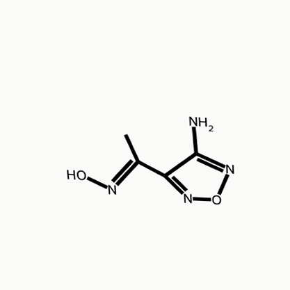 CC(=NO)c1nonc1N